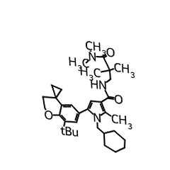 Cc1c(C(=O)NCC(C)(C)C(=O)N(C)C)cc(-c2cc(C(C)(C)C)c3c(c2)C2(CCO3)CC2)n1CC1CCCCC1